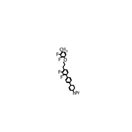 CCCC1C=CC(c2ccc(-c3ccc(CCCOc4ccc(C)c(F)c4F)c(F)c3F)cc2)CC1